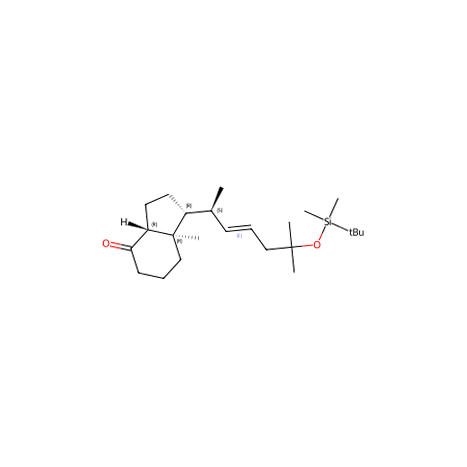 C[C@@H](/C=C/CC(C)(C)O[Si](C)(C)C(C)(C)C)[C@H]1CC[C@H]2C(=O)CCC[C@]12C